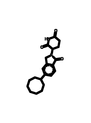 O=C1CCC(N2Cc3cc(C4CCCCCCC4)ccc3C2=O)C(=O)N1